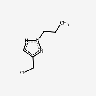 CCCn1ncc(CCl)n1